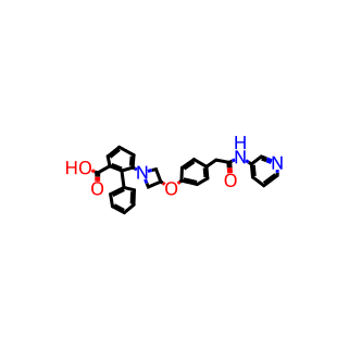 O=C(Cc1ccc(OC2CN(c3cccc(C(=O)O)c3-c3ccccc3)C2)cc1)Nc1cccnc1